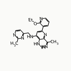 CCOc1ncccc1-c1cc(NCc2ccnc(C)n2)c(NC(C)C)c(C(C)=N)n1